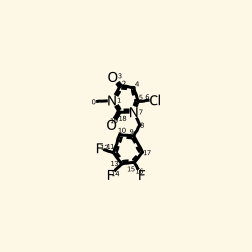 Cn1c(=O)cc(Cl)n(Cc2cc(F)c(F)c(F)c2)c1=O